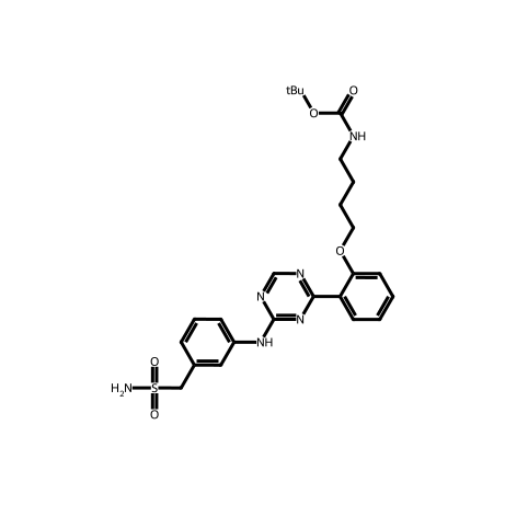 CC(C)(C)OC(=O)NCCCCOc1ccccc1-c1ncnc(Nc2cccc(CS(N)(=O)=O)c2)n1